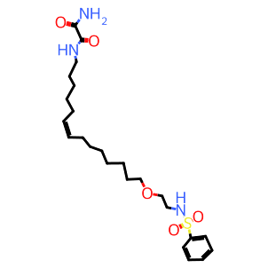 NC(=O)C(=O)NCCCCC/C=C\CCCCCCCOCCNS(=O)(=O)c1ccccc1